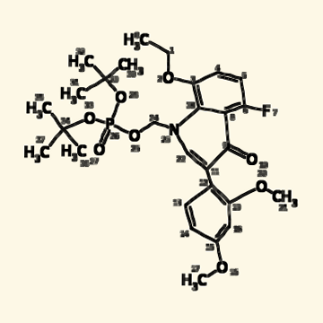 CCOc1ccc(F)c2c(=O)c(-c3ccc(OC)cc3OC)cn(COP(=O)(OC(C)(C)C)OC(C)(C)C)c12